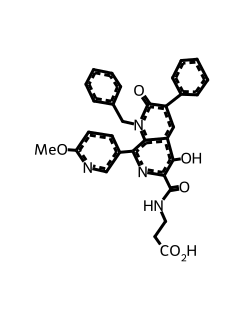 COc1ccc(-c2nc(C(=O)NCCC(=O)O)c(O)c3cc(-c4ccccc4)c(=O)n(Cc4ccccc4)c23)cn1